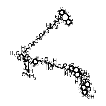 CC(C)[C@H](NC(=O)CCOCCOCCOCCOCCNC(=O)CCC(=O)N1Cc2ccccc2/C=C\c2ccccc21)C(=O)N[C@@H](CCCNC(N)=O)C(=O)Nc1ccc(COC(=O)NCC(=O)NCOCC(=O)Nc2ccc3c(c2)[C@@]2(C)CCC[C@](C)(C(=O)NC(=O)[C@@]4(C)CCC[C@]5(C)c6cc(O)ccc6CC[C@@H]45)[C@@H]2CC3)cc1